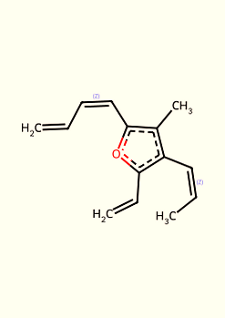 C=C/C=C\c1oc(C=C)c(/C=C\C)c1C